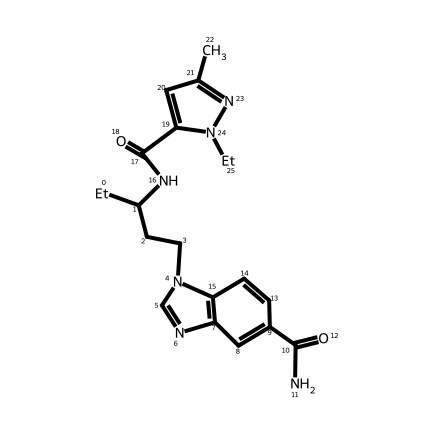 CCC(CCn1cnc2cc(C(N)=O)ccc21)NC(=O)c1cc(C)nn1CC